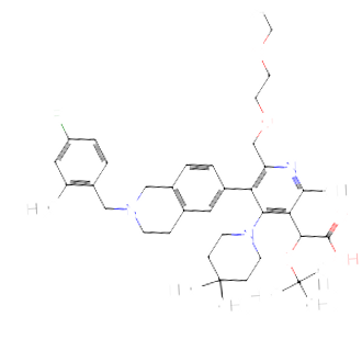 CCOCCOCc1nc(C)c(C(OC(C)(C)C)C(=O)O)c(N2CCC(C)(C)CC2)c1-c1ccc2c(c1)CCN(Cc1ccc(F)cc1C)C2